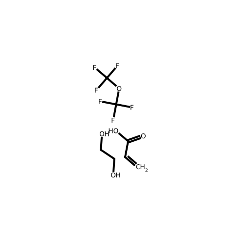 C=CC(=O)O.FC(F)(F)OC(F)(F)F.OCCO